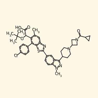 Cc1cc2nc(-c3ccc4c(c3)c(C3CCN(C5CN(C(=O)C6CC6)C5)CC3)nn4C)sc2c(-c2ccc(Cl)cc2)c1C(OC(C)(C)C)C(=O)O